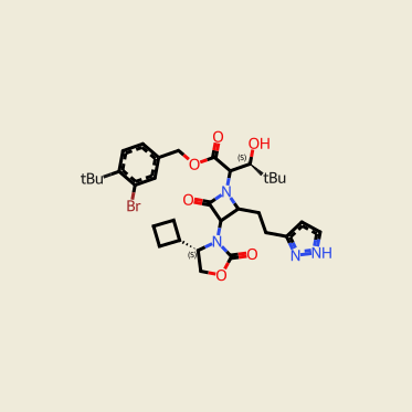 CC(C)(C)c1ccc(COC(=O)C([C@@H](O)C(C)(C)C)N2C(=O)C(N3C(=O)OC[C@@H]3C3CCC3)C2CCc2cc[nH]n2)cc1Br